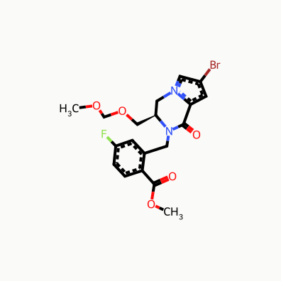 COCOC[C@H]1Cn2cc(Br)cc2C(=O)N1Cc1cc(F)ccc1C(=O)OC